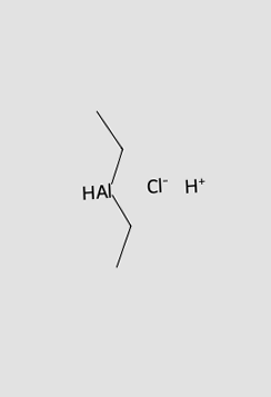 C[CH2][AlH][CH2]C.[Cl-].[H+]